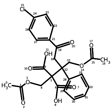 CC(=O)OCC(C(=O)O)(C(=O)O)C(COC(C)=O)(CC(=O)c1ccc(Cl)cc1)c1ccccc1